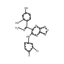 NN=C(c1ccc(O)cc1O)c1nc2nonc2nc1Nc1ccc(F)c(Cl)c1